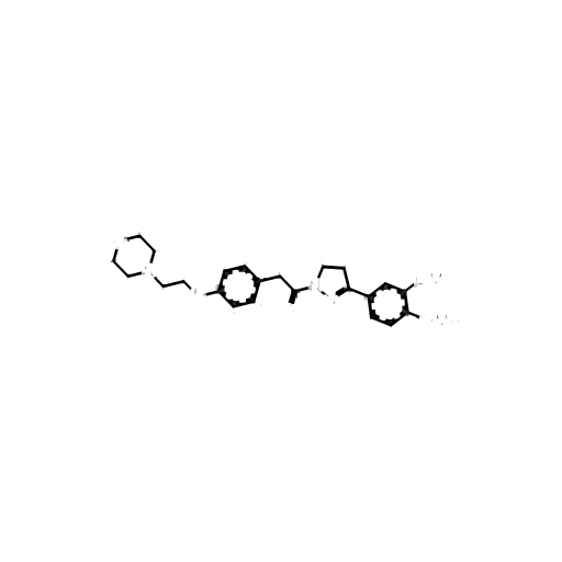 COc1ccc(C2=NN(C(=O)Cc3ccc(OCCN4CCOCC4)cc3)CC2)cc1OC